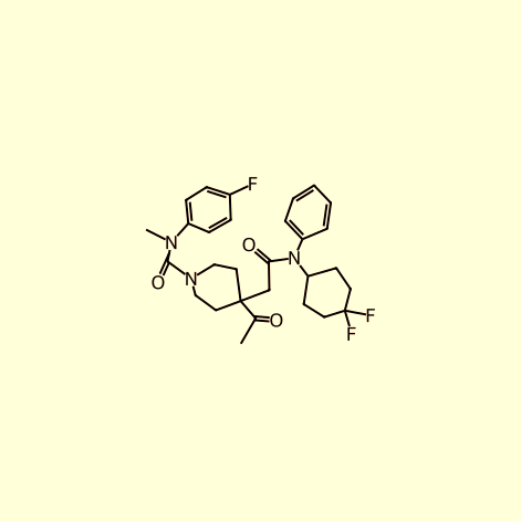 CC(=O)C1(CC(=O)N(c2ccccc2)C2CCC(F)(F)CC2)CCN(C(=O)N(C)c2ccc(F)cc2)CC1